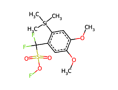 COc1cc(C(F)(F)S(=O)(=O)OF)c([Si](C)(C)C)cc1OC